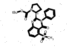 CC(C)(C)OC(=O)N1CCC[C@H]1c1nc2cccc(S(C)(=O)=O)c2c(=O)n1-c1ccccc1